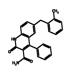 Cc1ccccc1Cc1ccc2[nH]c(=O)c(C(N)=O)c(-c3ccccc3)c2c1